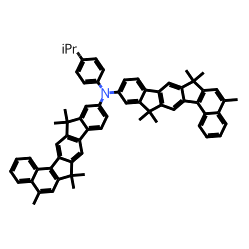 Cc1cc2c(c3ccccc13)-c1cc3c(cc1C2(C)C)-c1ccc(N(c2ccc(C(C)C)cc2)c2ccc4c(c2)C(C)(C)c2cc5c(cc2-4)C(C)(C)c2cc(C)c4ccccc4c2-5)cc1C3(C)C